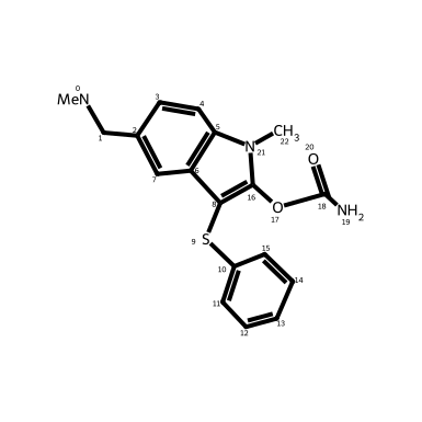 CNCc1ccc2c(c1)c(Sc1ccccc1)c(OC(N)=O)n2C